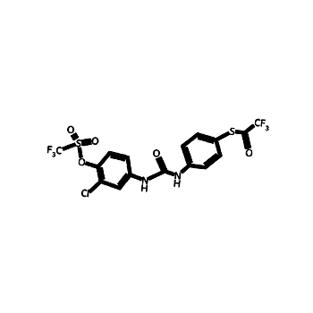 O=C(Nc1ccc(SC(=O)C(F)(F)F)cc1)Nc1ccc(OS(=O)(=O)C(F)(F)F)c(Cl)c1